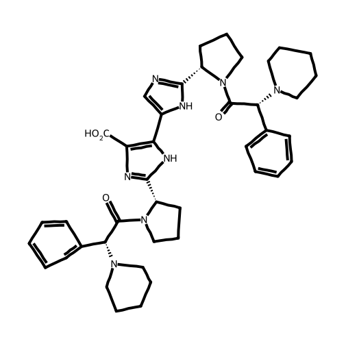 O=C(O)c1nc([C@@H]2CCCN2C(=O)[C@@H](c2ccccc2)N2CCCCC2)[nH]c1-c1cnc([C@@H]2CCCN2C(=O)[C@@H](c2ccccc2)N2CCCCC2)[nH]1